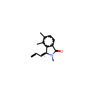 C=C/C=C1\c2c(ccc(C)c2C)C(=O)N1C